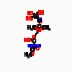 COc1ccc2c(c1)C(=O)NC(c1ccc(OCCCCOc3c(OC)cc(-c4cc(-c5cc(CO)c(CO)c(CO)c5)no4)cc3OC)c(CO)c1)N2